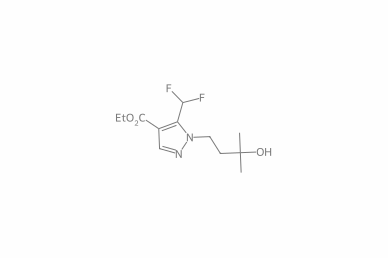 CCOC(=O)c1cnn(CCC(C)(C)O)c1C(F)F